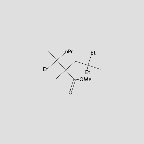 CCCC(C)(CC)C(C)(CC(C)(CC)CC)C(=O)OC